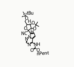 CCCCCOC(=O)Nc1ncnn2c([C@]3(C#N)OC(CO[Si](C)(C)C(C)(C)C)[C@H]4OC(C)(C)O[C@H]43)ccc12